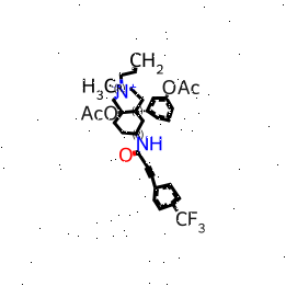 C=CC[N@@+]1(C)CC[C@@]2(c3cccc(OC(C)=O)c3)C[C@H](NC(=O)C#Cc3ccc(C(F)(F)F)cc3)CCC2(OC(C)=O)C1